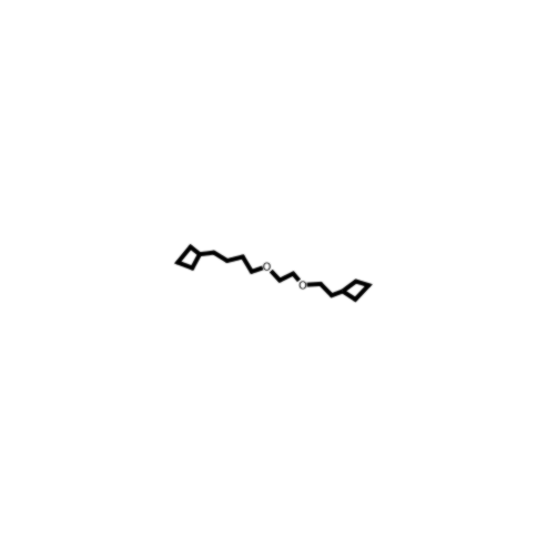 C(CCC1CCC1)COCCOCCC1CCC1